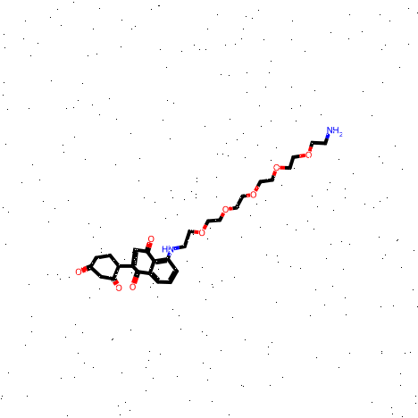 NCCOCCOCCOCCOCCOCCNc1cccc2c1C(=O)C=C(C1CCC(=O)CC1=O)C2=O